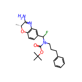 C[C@H]1Oc2ccc(C(F)N(CCCc3ccccc3)C(=O)OC(C)(C)C)cc2N=C1N